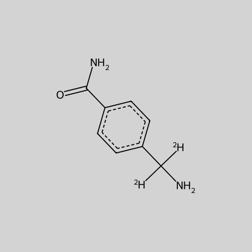 [2H]C([2H])(N)c1ccc(C(N)=O)cc1